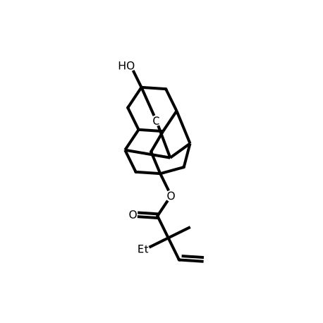 C=CC(C)(CC)C(=O)OC12CC3C4CC5(O)CC3C(C1)C(C5)C4C2